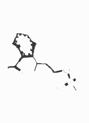 CC(=O)c1ccccc1C(C)CCOS(C)(=O)=O